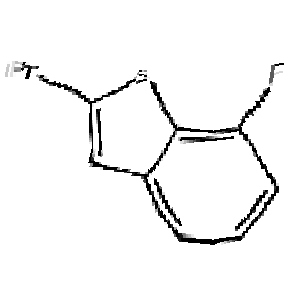 CC(C)c1cc2cccc(F)c2s1